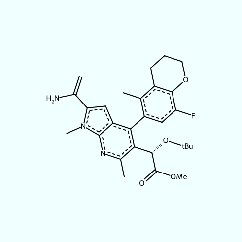 C=C(N)c1cc2c(-c3cc(F)c4c(c3C)CCCO4)c([C@H](OC(C)(C)C)C(=O)OC)c(C)nc2n1C